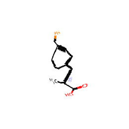 C/C(=C\c1ccc(C=P)cc1)C(=O)O